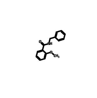 COc1ccccc1C(=O)NCc1[c]cccc1